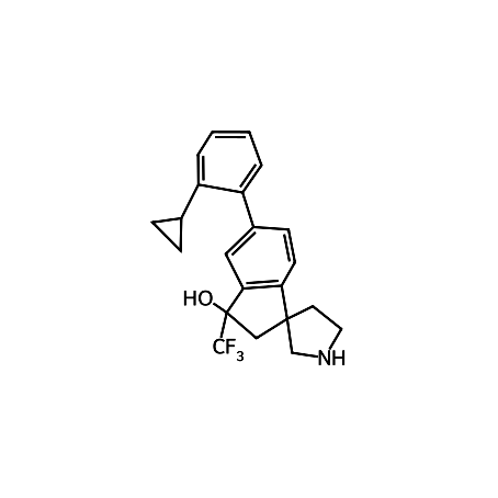 OC1(C(F)(F)F)CC2(CCNC2)c2ccc(-c3ccccc3C3CC3)cc21